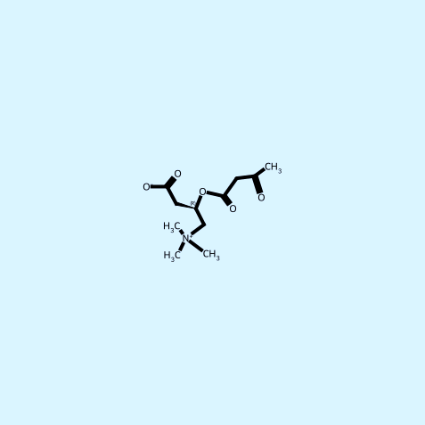 CC(=O)CC(=O)O[C@H](CC(=O)[O-])C[N+](C)(C)C